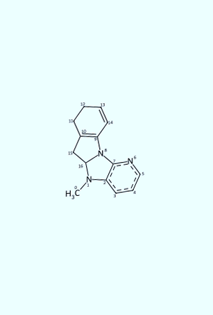 CN1c2cccnc2N2C3=C(CCC=C3)CC12